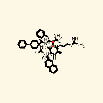 C=C(N[C@@H](Cc1ccc2ccccc2c1)C(=O)NCC(N)=O)[C@H](CCCNC(=N)N)NC(=O)[C@@H](Cc1ccccc1)NC(=O)[C@]1(NC(=O)NCCCC)CC[C@@H](c2ccccc2)CC1